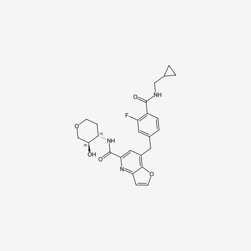 O=C(N[C@H]1CCOC[C@@H]1O)c1cc(Cc2ccc(C(=O)NCC3CC3)c(F)c2)c2occc2n1